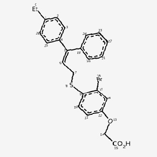 CCc1ccc(C(=CCSc2ccc(OCC(=O)O)cc2Br)c2ccccc2)cc1